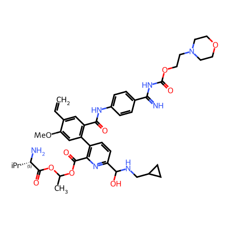 C=Cc1cc(C(=O)Nc2ccc(C(=N)NC(=O)OCCN3CCOCC3)cc2)c(-c2ccc(C(O)NCC3CC3)nc2C(=O)OC(C)OC(=O)[C@@H](N)C(C)C)cc1OC